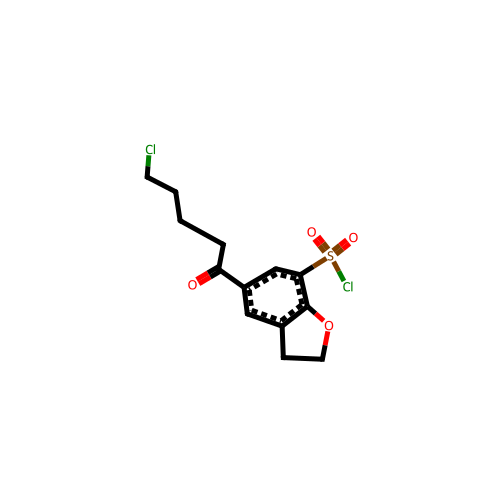 O=C(CCCCCl)c1cc2c(c(S(=O)(=O)Cl)c1)OCC2